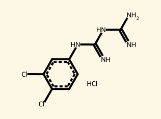 Cl.N=C(N)NC(=N)Nc1ccc(Cl)c(Cl)c1